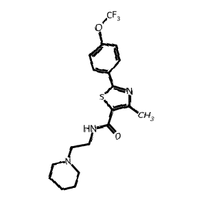 Cc1nc(-c2ccc(OC(F)(F)F)cc2)sc1C(=O)NCCN1CCCCC1